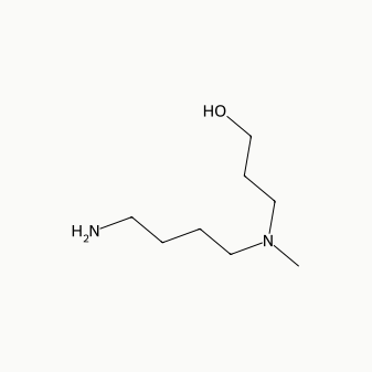 CN(CCCO)CCCCN